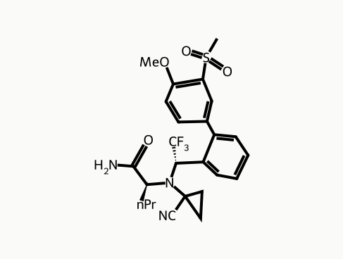 CCC[C@@H](C(N)=O)N([C@@H](c1ccccc1-c1ccc(OC)c(S(C)(=O)=O)c1)C(F)(F)F)C1(C#N)CC1